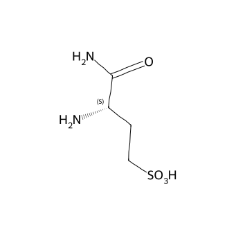 NC(=O)[C@@H](N)CCS(=O)(=O)O